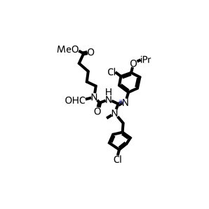 COC(=O)CCCCN(C=O)C(=O)N/C(=N\c1ccc(OC(C)C)c(Cl)c1)N(C)Cc1ccc(Cl)cc1